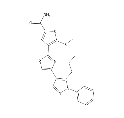 CCCc1c(-c2csc(-c3cc(C(N)=O)sc3SC)n2)cnn1-c1ccccc1